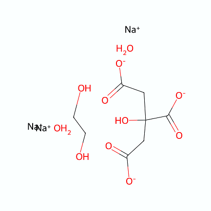 O.O.O=C([O-])CC(O)(CC(=O)[O-])C(=O)[O-].OCCO.[Na+].[Na+].[Na+]